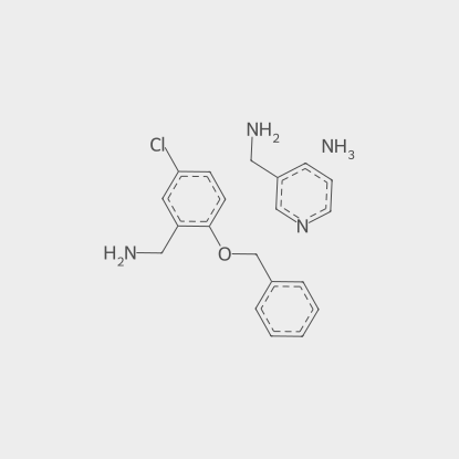 N.NCc1cc(Cl)ccc1OCc1ccccc1.NCc1cccnc1